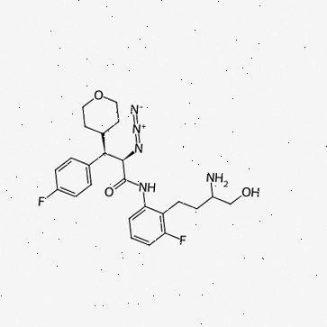 [N-]=[N+]=N[C@@H](C(=O)Nc1cccc(F)c1CCC(N)CO)[C@@H](c1ccc(F)cc1)C1CCOCC1